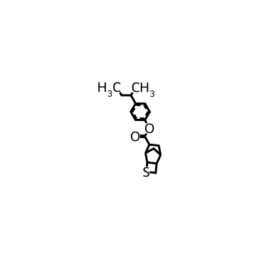 CCC(C)c1ccc(OC(=O)C2CC3CC2C2SCC32)cc1